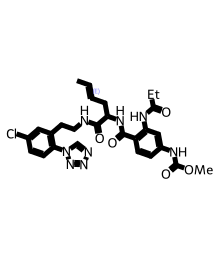 C/C=C/CC(NC(=O)c1ccc(NC(=O)OC)cc1NC(=O)CC)C(=O)NCCc1cc(Cl)ccc1-n1cnnn1